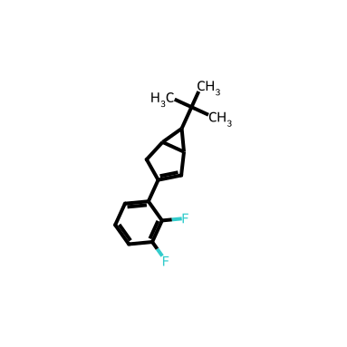 CC(C)(C)C1C2C=C(c3cccc(F)c3F)CC21